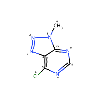 Cn1nnc2c(Cl)ncnc21